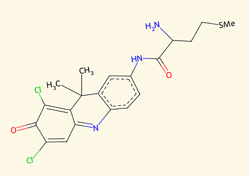 CSCCC(N)C(=O)Nc1ccc2c(c1)C(C)(C)C1=C(Cl)C(=O)C(Cl)=CC1=N2